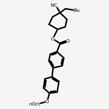 CCCCCCCCOc1ccc(-c2ccc(C(=O)OC3CCC(C#N)(CC(C)CC)CC3)cc2)cc1